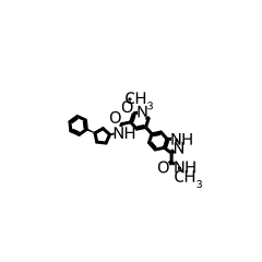 CNC(=O)c1n[nH]c2cc(-c3cnc(OC)c(C(=O)N[C@H]4CC[C@@H](c5ccccc5)C4)c3)ccc12